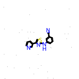 N#Cc1cccc(Nc2nc(-c3cccnc3)cs2)c1